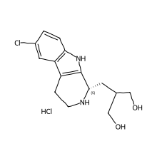 Cl.OCC(CO)C[C@@H]1NCCc2c1[nH]c1ccc(Cl)cc21